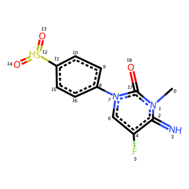 Cn1c(=N)c(F)cn(-c2ccc([SH](=O)=O)cc2)c1=O